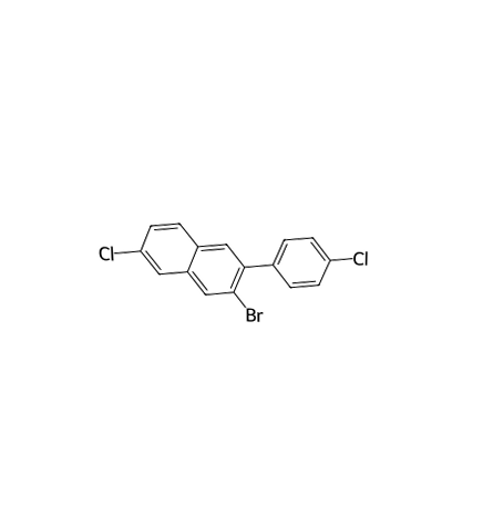 Clc1ccc(-c2cc3ccc(Cl)cc3cc2Br)cc1